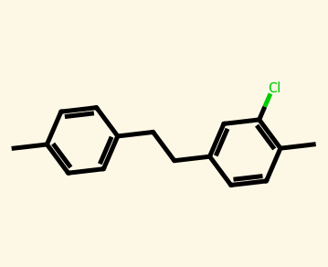 Cc1ccc(CCc2ccc(C)c(Cl)c2)cc1